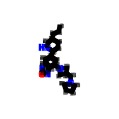 CCCC1CCC(c2cc(N3CC(CN4CCCC4)C3)c3nonc3c2)NC1